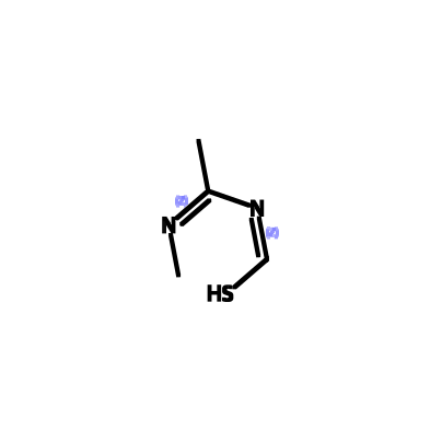 C/N=C(C)\N=C/S